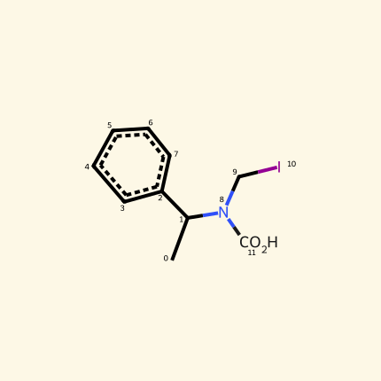 CC(c1ccccc1)N(CI)C(=O)O